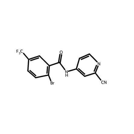 N#Cc1cc(NC(=O)c2cc(C(F)(F)F)ccc2Br)ccn1